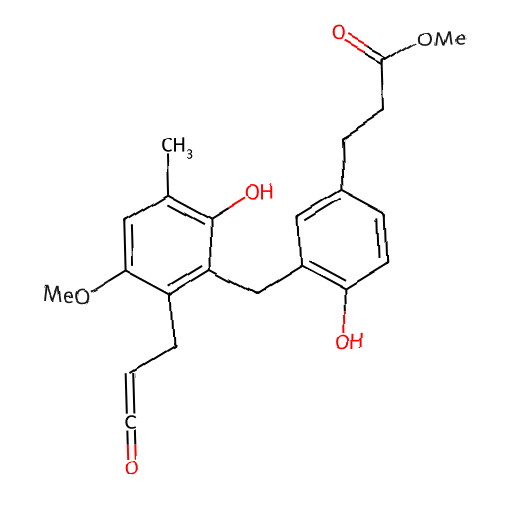 COC(=O)CCc1ccc(O)c(Cc2c(O)c(C)cc(OC)c2CC=C=O)c1